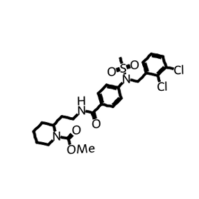 COC(=O)N1CCCCC1CCNC(=O)c1ccc(N(Cc2cccc(Cl)c2Cl)S(C)(=O)=O)cc1